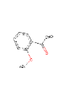 CCCCOc1ccccc1C(=O)C=O